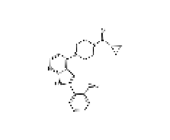 COc1ccccc1-c1cc2c(N3CCN(C(=O)C4CC4)CC3)ccnc2[nH]1